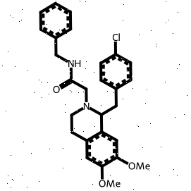 COc1cc2c(cc1OC)C(Cc1ccc(Cl)cc1)N(CC(=O)NCc1ccccc1)CC2